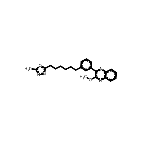 COc1nc2ccccc2nc1-c1cccc(CCCCCCc2nnc(C)o2)c1